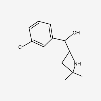 CC1(C)CC(C(O)c2cccc(Cl)c2)N1